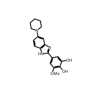 COc1cc(-c2nc3cc(N4CCCCC4)ccc3[nH]2)cc(O)c1O